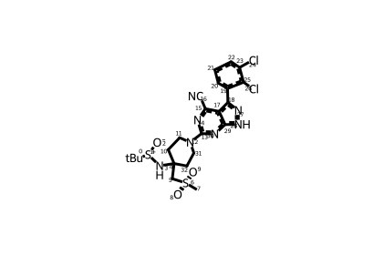 CC(C)(C)[S+]([O-])NC1(CS(C)(=O)=O)CCN(c2nc(C#N)c3c(-c4cccc(Cl)c4Cl)n[nH]c3n2)CC1